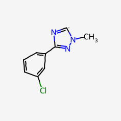 Cn1[c]nc(-c2cccc(Cl)c2)n1